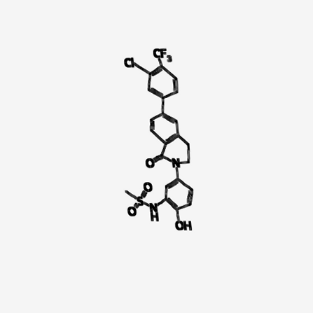 CS(=O)(=O)Nc1cc(N2CCc3cc(-c4ccc(C(F)(F)F)c(Cl)c4)ccc3C2=O)ccc1O